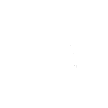 NS(=O)(=O)c1cc(C(=O)CBr)c(Cl)cc1Cl